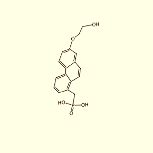 O=P(O)(O)Cc1cccc2c1ccc1cc(OCCO)ccc12